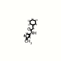 Cn1cc(NC(=O)CC2CCCCC2)cn1